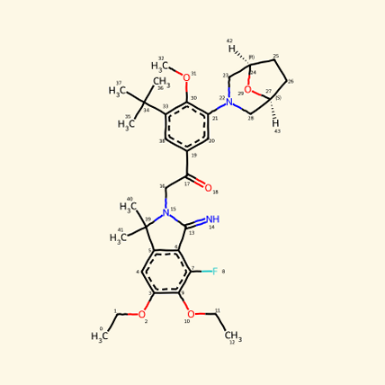 CCOc1cc2c(c(F)c1OCC)C(=N)N(CC(=O)c1cc(N3C[C@H]4CC[C@@H](C3)O4)c(OC)c(C(C)(C)C)c1)C2(C)C